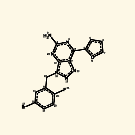 Nc1nc(-c2ccco2)c2nnn(Cc3cc(Br)ccc3F)c2n1